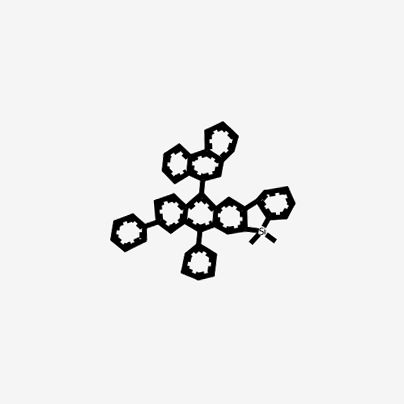 C[Si]1(C)c2ccccc2-c2cc3c(-c4cc5ccccc5c5ccccc45)c4ccc(-c5ccccc5)cc4c(-c4ccccc4)c3cc21